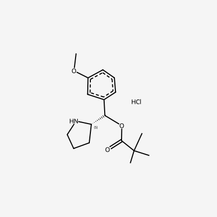 COc1cccc(C(OC(=O)C(C)(C)C)[C@@H]2CCCN2)c1.Cl